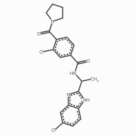 CC(NC(=O)c1ccc(C(=O)N2CCCC2)c(Cl)c1)c1nc2cc(Cl)ccc2[nH]1